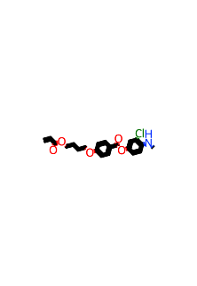 C=CC(=O)OCCCCOc1ccc(C(=O)Oc2ccc(NC)c(Cl)c2)cc1